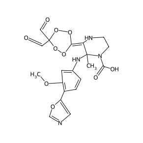 COc1cc(NC2(C)C(=C3OOC(C=O)(C=O)OO3)NCCN2C(=O)O)ccc1-c1cnco1